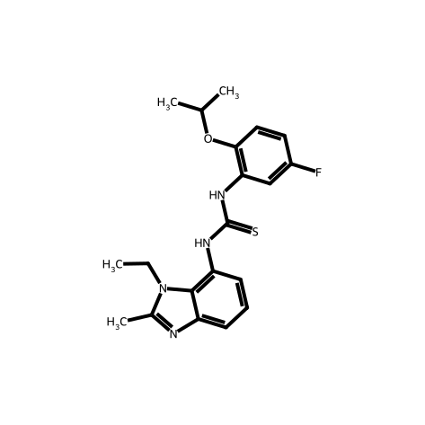 CCn1c(C)nc2cccc(NC(=S)Nc3cc(F)ccc3OC(C)C)c21